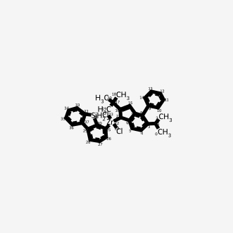 CC(C)c1ccc2c(c1-c1ccccc1)C=C(C(C)(C)C)[CH]2[Zr]([Cl])([Cl])[c]1cccc2c1[SiH2]c1ccccc1-2